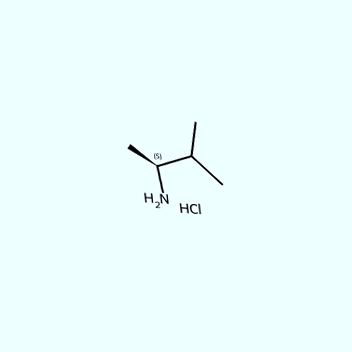 CC(C)[C@H](C)N.Cl